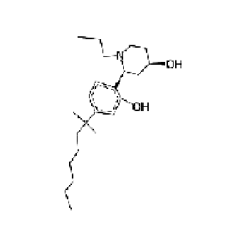 CCCCCCC(C)(C)c1ccc([C@@H]2C[C@H](O)CCN2CCC)c(O)c1